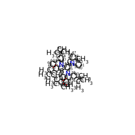 CC(C)(C)c1ccc2c(c1)B1c3cc4c(cc3N(c3ccc(C(C)(C)C)cc3-c3ccccc3)c3cc(N5c6ccccc6C6(C)CCCCC56C)cc(c31)N2c1ccc(C(C)(C)C)cc1-c1ccccc1)C(C)(C)CC4(C)C